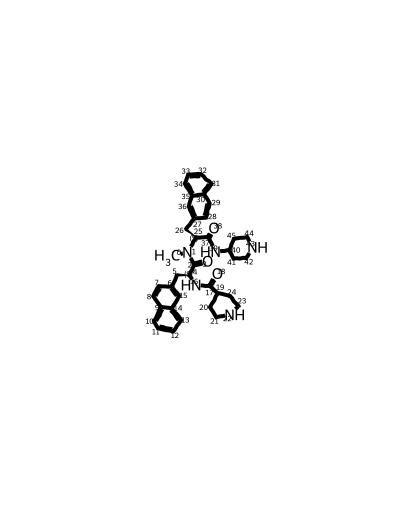 CN(C(=O)[C@H](Cc1ccc2ccccc2c1)NC(=O)C1CCNCC1)[C@@H](Cc1ccc2ccccc2c1)C(=O)NC1CCNCC1